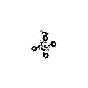 Cc1cc(=O)oc2cc(NC(=O)[C@H](CCc3ccccc3)NC(=O)[C@H](Cc3ccccc3)NC(=O)OCc3ccccc3)ccc12